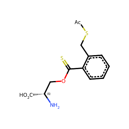 CC(=O)SCc1ccccc1C(=S)OC[C@H](N)C(=O)O